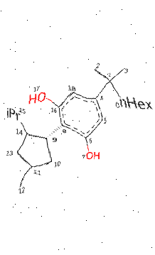 CCCCCCC(C)(C)c1cc(O)c([C@@H]2CC(C)CC2C(C)C)c(O)c1